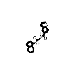 O=C(CNC(=O)c1ccc2ncccc2c1)Nc1cccc2c1CCCC2